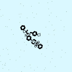 CC(Oc1ccccc1)c1nc2ccc(N3CCN(S(=O)(=O)c4ccccc4)CC3)cc2n1Cc1ccc(Cl)cc1